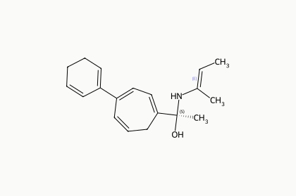 C/C=C(\C)N[C@@](C)(O)C1=CC=C(C2=CCCC=C2)C=CC1